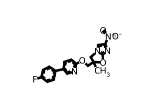 CC1(COc2ccc(-c3ccc(F)cc3)cn2)Cn2cc([N+](=O)[O-])nc2O1